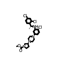 COC(=O)N1CCC(N2CCN(c3ccc(Cl)c(N[C@H](C)c4ccc(Cl)cc4Cl)c3)CC2)C1